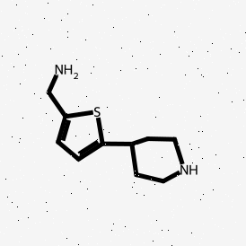 NCc1ccc(C2CCNCC2)s1